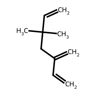 C=CC(=C)CC(C)(C)C=C